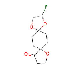 O=C1CCOC12CCC1(CC2)OCC(F)O1